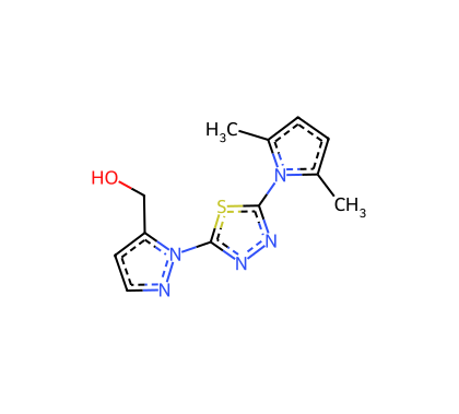 Cc1ccc(C)n1-c1nnc(-n2nccc2CO)s1